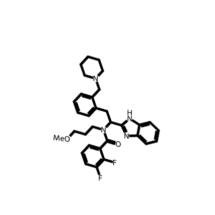 COCCCN(C(=O)c1cccc(F)c1F)C(Cc1ccccc1CN1CCCCC1)c1nc2ccccc2[nH]1